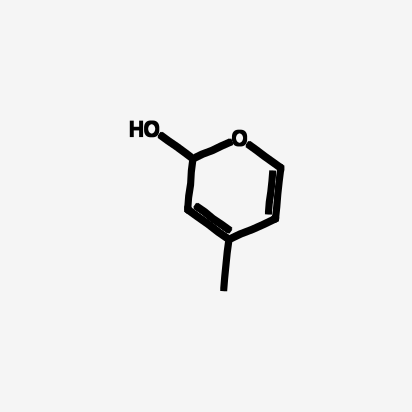 CC1=CC(O)OC=C1